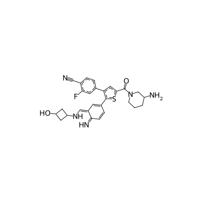 N#Cc1ccc(-c2cc(C(=O)N3CCCC(N)C3)sc2C2=C/C(=C/NC3CC(O)C3)C(=N)C=C2)cc1F